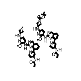 C=CC(=O)Nc1ccnc(-c2cccc3cnc(Nc4ccc(NC5CN(C(=O)OC(C)(C)C)C5)nc4OC)nc23)c1.C=CC(=O)Nc1ccnc(-c2cccc3cnc(Nc4ccc(NC5CN(C)C5)nc4OC)nc23)c1